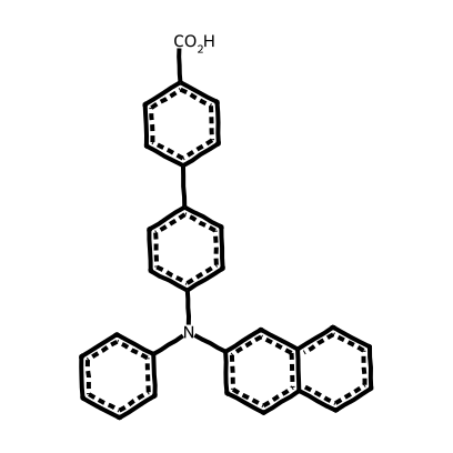 O=C(O)c1ccc(-c2ccc(N(c3ccccc3)c3ccc4ccccc4c3)cc2)cc1